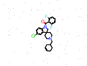 O=C(c1c(F)cccc1F)N1CC2(CCN(CC3CC=CCC3)CC2)c2cc(Cl)ccc21